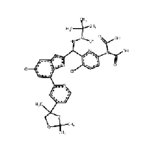 CC1(C)OCC(C)(c2ccnc(-c3cc(Cl)cc4cc(C(N[S+]([O-])C(C)(C)C)c5nc(N(C(=O)O)C(=O)O)ccc5Cl)sc34)c2)O1